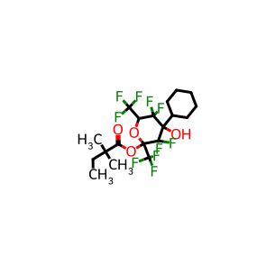 CCC(C)(C)C(=O)OC1(C(F)(F)F)OC(C(F)(F)F)C(F)(F)C(O)(C2CCCCC2)C1(F)F